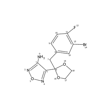 Nc1nonc1C1(Cc2ccc(F)c(Br)c2)OCCO1